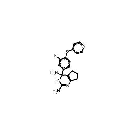 NC1=NC2=C(CCC2)C(N)(c2ccc(Sc3ccncc3)c(F)c2)N1